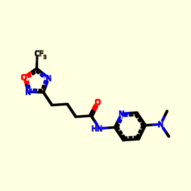 CN(C)c1ccc(NC(=O)CCCc2noc(C(F)(F)F)n2)nc1